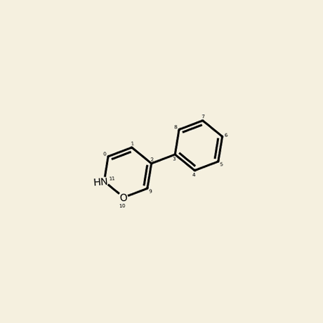 C1=CC(c2ccccc2)=CON1